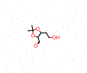 CC1(C)OC(C=O)C(CCO)O1